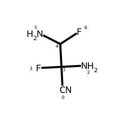 N#CC(N)(F)C(N)F